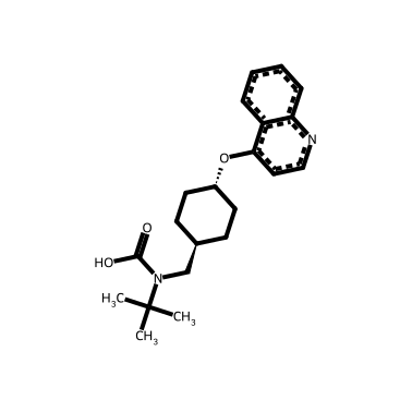 CC(C)(C)N(C[C@H]1CC[C@H](Oc2ccnc3ccccc23)CC1)C(=O)O